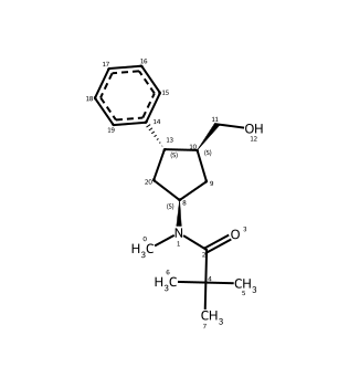 CN(C(=O)C(C)(C)C)[C@@H]1C[C@H](CO)[C@@H](c2ccccc2)C1